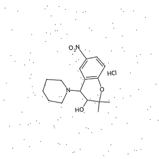 CC1(C)Oc2ccc([N+](=O)[O-])cc2C(N2CCCCC2)C1O.Cl